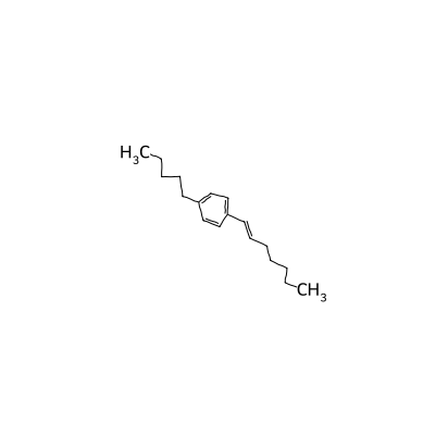 CCCCCC=Cc1ccc(CCCCC)cc1